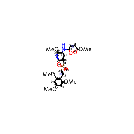 COC(=O)/C=C\C(=O)Nc1cc(CS(=O)(=O)/C=C/c2c(OC)cc(OC)cc2OC)cnc1OC